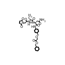 C[C@H](NC(=O)CN1C(=O)C=CC1=O)C(=O)N[C@@H](CC(N)=O)C(=O)Nc1ccc(COCC(=O)OCc2ccccc2)cc1